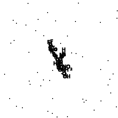 CC(C)c1ccccc1[C@@H]1CN(Cc2ccc(F)c(F)c2)CCN1C1CC2(CCN(c3ccc(C(=O)NS(=O)(=O)c4cc([N+](=O)[O-])c(NC[C@H]5CC[C@](C)(O)CC5)c5c4OCO5)c(Oc4cnc5[nH]ccc5c4)c3)CC2)C1